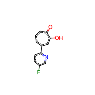 O=c1cccc(-c2ccc(F)cn2)cc1O